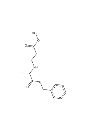 C[C@H](NCCC(=O)OC(C)(C)C)C(=O)OCc1ccccc1